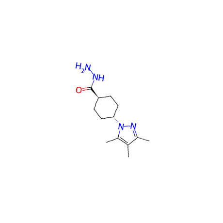 Cc1nn([C@H]2CC[C@H](C(=O)NN)CC2)c(C)c1C